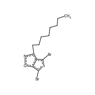 CCCCCCCCc1noc2c(Br)sc(Br)c12